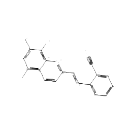 Cc1cc(C)c2ccc(/C=C/c3ccccc3C#N)nc2c1O